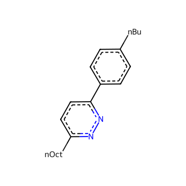 CCCCCCCCc1ccc(-c2ccc(CCCC)cc2)nn1